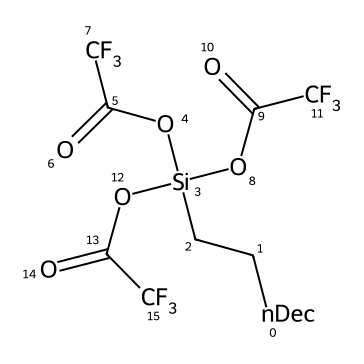 CCCCCCCCCCCC[Si](OC(=O)C(F)(F)F)(OC(=O)C(F)(F)F)OC(=O)C(F)(F)F